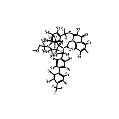 [2H]c1c([2H])c(F)c(F)c(C([2H])([2H])Sc2c([2H])c(=O)c3c([2H])c(C)c([2H])c([2H])c3n2CC(=O)N(C([2H])([2H])c2c([2H])c([2H])c(-c3c([2H])c([2H])c(C(F)(F)F)c([2H])c3[2H])c([2H])c2[2H])C2([2H])C([2H])([2H])C([2H])([2H])N(C([2H])([2H])COC)C([2H])([2H])C2([2H])[2H])c1[2H]